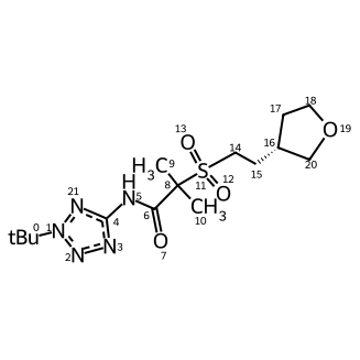 CC(C)(C)n1nnc(NC(=O)C(C)(C)S(=O)(=O)CC[C@@H]2CCOC2)n1